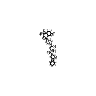 O=C(NCC(=O)N1CCN(C(=O)c2cc(F)ccc2C(F)(F)F)CC1)c1cnn(-c2ccccc2)c1